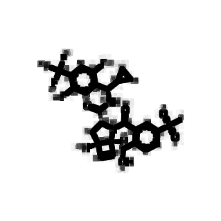 CS(=O)(=O)c1ccc(CO)c(C(=O)N2[C@@H](C(=O)N[C@@H](c3cc(F)c(C(F)(F)F)cc3F)C3CC3)C[C@H]3C#C[C@H]32)c1